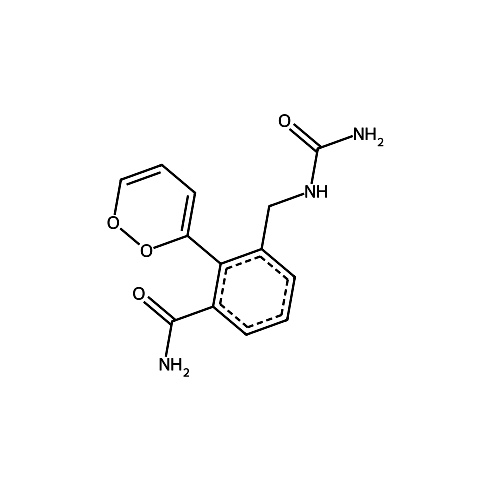 NC(=O)NCc1cccc(C(N)=O)c1C1=CC=COO1